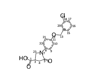 O=C(O)C1CC(=O)N(c2ccc(OCc3cccc(Cl)c3)cc2)C1